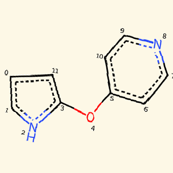 c1c[nH]c(Oc2ccncc2)c1